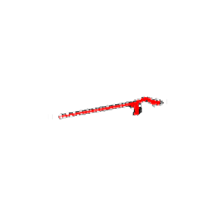 COCCOCCOCCOCCOCCOCCOCCOCCOCCOCCOCCOCCOCCOCCOCCOCCOCCOCCOCCOCCOCCOCC(Cn1cc(C(=O)c2c(F)ccc(NS(=O)(=O)N3CC[C@@H](F)C3)c2F)c2cc(-c3ccc(N4CCN(CC5CCN(c6ccc7c(c6)CN(C6CCC(=O)NC6=O)C7=O)CC5)CC4)cc3)cnc21)OC(=O)O